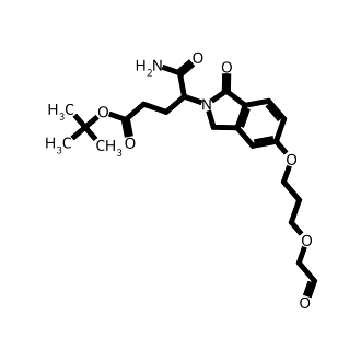 CC(C)(C)OC(=O)CCC(C(N)=O)N1Cc2cc(OCCCOCC=O)ccc2C1=O